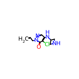 C=CCn1ncc(NC2CNC2)c(Cl)c1=O